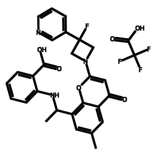 Cc1cc(C(C)Nc2ccccc2C(=O)O)c2oc(N3CC(F)(c4cccnc4)C3)cc(=O)c2c1.O=C(O)C(F)(F)F